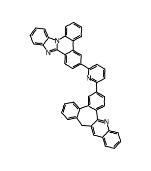 c1cc(-c2ccc3c(c2)-c2ccccc2Cc2cc4ccccc4nc2-3)nc(-c2ccc3c(c2)c2ccccc2n2c4ccccc4nc32)c1